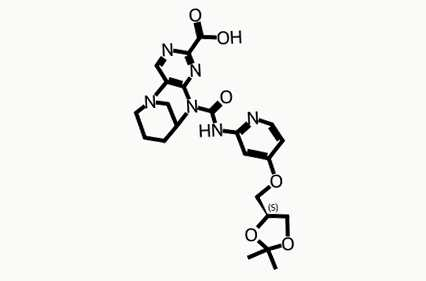 CC1(C)OC[C@H](COc2ccnc(NC(=O)N3c4nc(C(=O)O)ncc4N4CCCC3C4)c2)O1